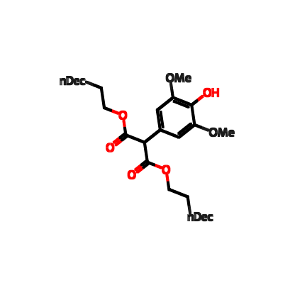 CCCCCCCCCCCCOC(=O)C(C(=O)OCCCCCCCCCCCC)c1cc(OC)c(O)c(OC)c1